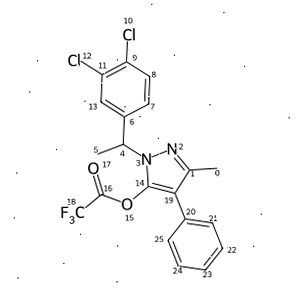 Cc1nn(C(C)c2ccc(Cl)c(Cl)c2)c(OC(=O)C(F)(F)F)c1-c1ccccc1